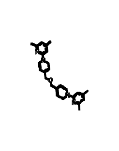 Cc1cc(C)nc(N2C=CC(COCC3=CCN(c4cc(C)cc(C)n4)C=C3)=CC2)c1